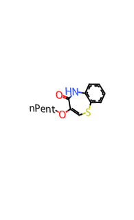 CCCCCOC1=CSc2ccccc2NC1=O